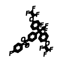 O=S(=O)(c1ccc(F)cc1)c1ccc(C(c2ccc(OC(F)=C(F)F)cc2)(c2ccc(OC(F)=C(F)F)cc2)C(F)(F)F)cc1